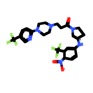 O=C(CCN1CCN(c2ccc(C(F)(F)F)cn2)CC1)N1CC[C@@H](NC2=CC(C(F)(F)F)C([N+](=O)[O-])C=C2)C1